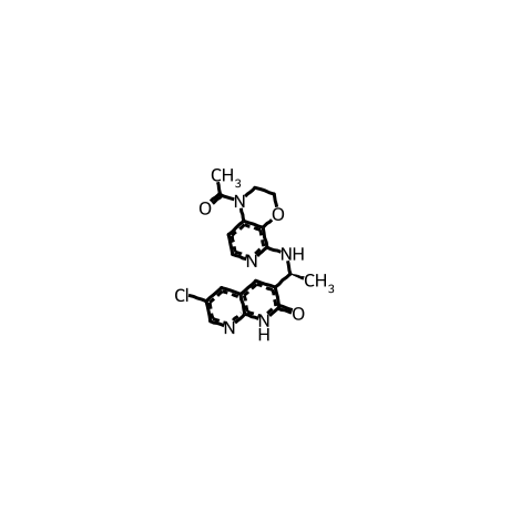 CC(=O)N1CCOc2c1ccnc2N[C@@H](C)c1cc2cc(Cl)cnc2[nH]c1=O